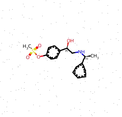 C[C@H](NC[C@H](O)c1ccc(OS(C)(=O)=O)cc1)c1ccccc1